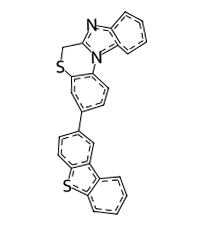 c1ccc2c(c1)nc1n2-c2ccc(-c3ccc4sc5ccccc5c4c3)cc2SC1